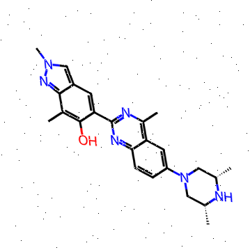 Cc1nc(-c2cc3cn(C)nc3c(C)c2O)nc2ccc(N3C[C@@H](C)N[C@@H](C)C3)cc12